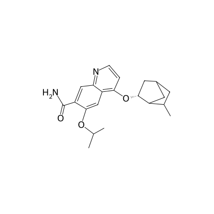 CC(C)Oc1cc2c(O[C@@H]3CC4CC(C)C3C4)ccnc2cc1C(N)=O